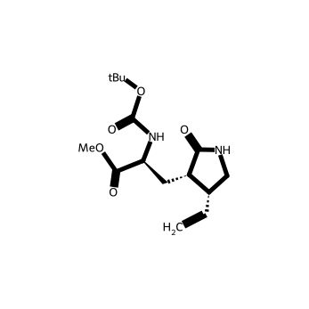 C=C[C@H]1CNC(=O)[C@H]1C[C@H](NC(=O)OC(C)(C)C)C(=O)OC